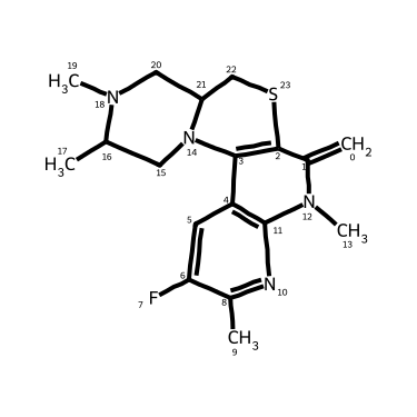 C=C1C2=C(c3cc(F)c(C)nc3N1C)N1CC(C)N(C)CC1CS2